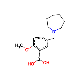 COc1ccc(CN2CCCCCC2)cc1B(O)O